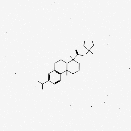 CCC(C)(CC)OC(=O)C1(C)CCCC2(C)c3ccc(C(C)C)cc3CCC12